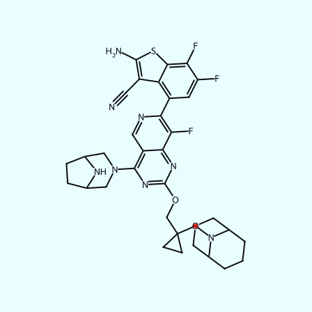 N#Cc1c(N)sc2c(F)c(F)cc(-c3ncc4c(N5CC6CCC(C5)N6)nc(OCC5(CN6C7CCCC6COC7)CC5)nc4c3F)c12